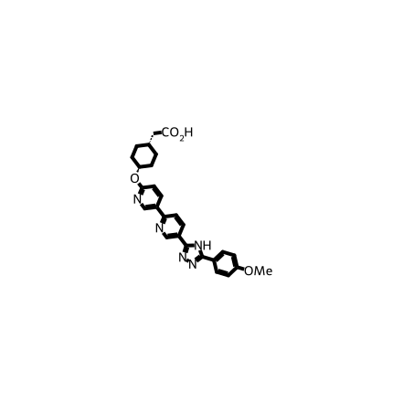 COc1ccc(-c2nnc(-c3ccc(-c4ccc(O[C@H]5CC[C@@H](CC(=O)O)CC5)nc4)nc3)[nH]2)cc1